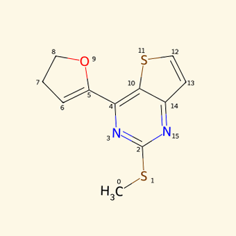 CSc1nc(C2=CCCO2)c2sccc2n1